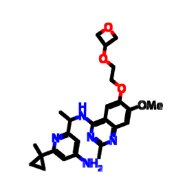 COc1cc2nc(C)nc(NC(C)c3cc(N)cc(C4(C)CC4)n3)c2cc1OCCOC1COC1